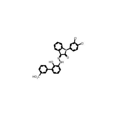 O=C(O)c1cccc(-c2cccc(N/N=C3\C(=O)N(c4ccc(Cl)c(Cl)c4)c4ccccc43)c2O)c1